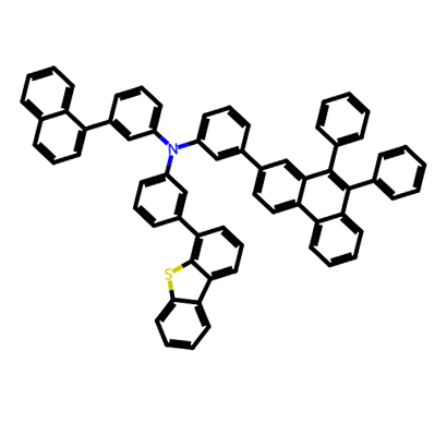 c1ccc(-c2c(-c3ccccc3)c3cc(-c4cccc(N(c5cccc(-c6cccc7ccccc67)c5)c5cccc(-c6cccc7c6sc6ccccc67)c5)c4)ccc3c3ccccc23)cc1